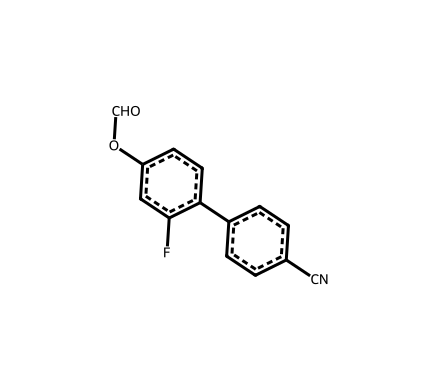 N#Cc1ccc(-c2ccc(OC=O)cc2F)cc1